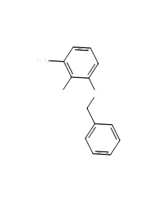 Nc1cccc(OCc2ccccc2)c1I